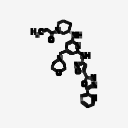 C=CC(=O)N1CCC[C@H](Nc2cc(CN3CCOCC3)cc(Nc3cc(-c4nnc(-c5ccccn5)o4)on3)n2)C1